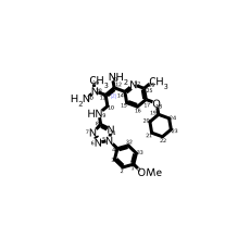 COc1ccc(-n2nnc(NC/C(=C(/N)c3ccc(OC4CCCCC4)c(C)n3)N(C)N)n2)cc1